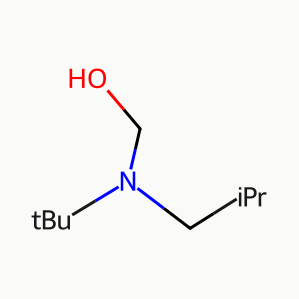 CC(C)CN(CO)C(C)(C)C